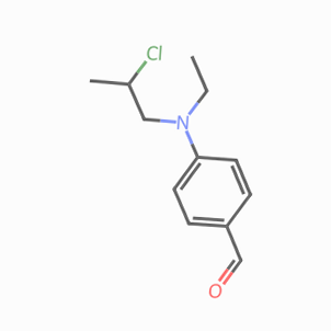 CCN(CC(C)Cl)c1ccc(C=O)cc1